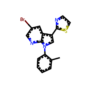 Cc1ccccc1-n1cc(-c2nccs2)c2cc(Br)cnc21